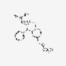 CCOC(=O)OCc1ccc(OC(=O)OCC)c(C(CCN(C(C)C)C(C)C)c2ccccc2)c1